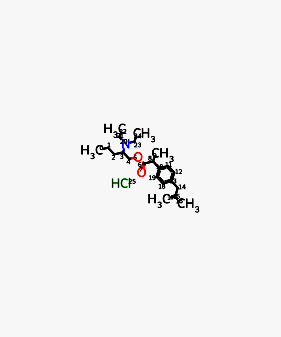 CCCC(COC(=O)C(C)c1ccc(CC(C)C)cc1)N(CC)CC.Cl